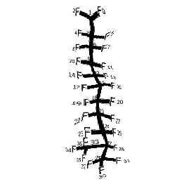 F[C](F)C(F)(F)C(F)(F)C(F)(F)C(F)(F)C(F)(F)C(F)(F)C(F)(F)C(F)(F)C(F)(C(F)(F)F)C(F)(F)F